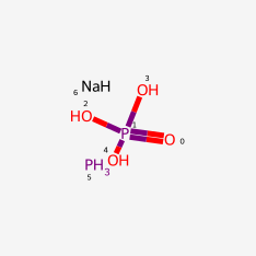 O=P(O)(O)O.P.[NaH]